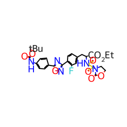 CCOC(=O)C(Cc1ccc(-c2noc(-c3ccc(NC(=O)OC(C)(C)C)cc3)n2)c(F)c1)NS(=O)(=O)N1CCOC1=O